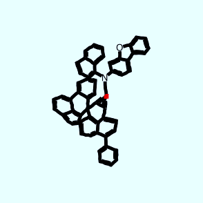 c1ccc(-c2ccc3c4c(cccc24)C2(c4ccccc4-c4cccc5cccc2c45)c2cc(N(c4ccc5c(c4)oc4ccccc45)c4cccc5ccccc45)ccc2-3)cc1